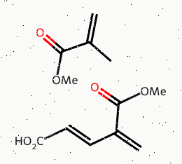 C=C(C)C(=O)OC.C=C(C=CC(=O)O)C(=O)OC